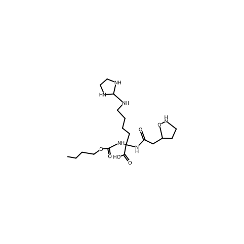 CCCCOC(=O)NC(CCCCNC1NCCN1)(NC(=O)CC1CCNO1)C(=O)O